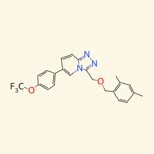 Cc1ccc(COCc2nnc3ccc(-c4ccc(OC(F)(F)F)cc4)cn23)c(C)c1